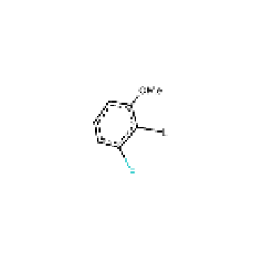 [Li][c]1c(F)cccc1OC